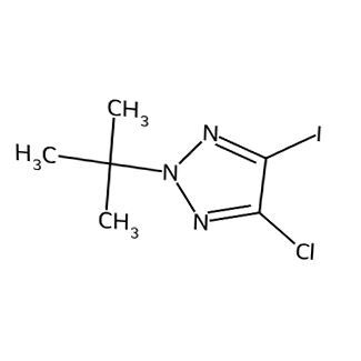 CC(C)(C)n1nc(Cl)c(I)n1